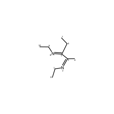 CCN=C(C)C(CC)=NCC